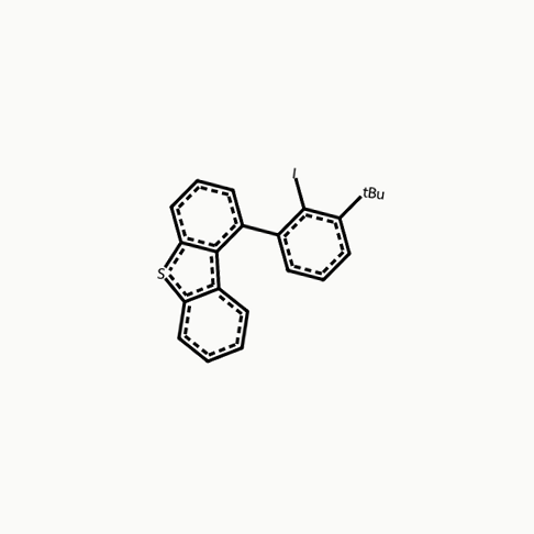 CC(C)(C)c1cccc(-c2cccc3sc4ccccc4c23)c1I